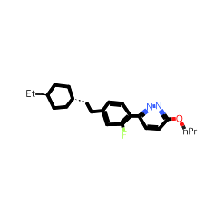 CCCOc1ccc(-c2ccc(CC[C@H]3CC[C@H](CC)CC3)cc2F)nn1